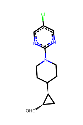 O=C[C@@H]1C[C@@H]1C1CCN(c2ncc(Cl)cn2)CC1